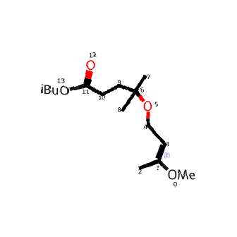 CO/C(C)=C/COC(C)(C)CCC(=O)OCC(C)C